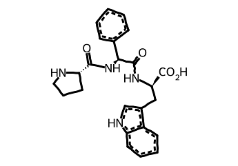 O=C(N[C@H](C(=O)N[C@H](Cc1c[nH]c2ccccc12)C(=O)O)c1ccccc1)[C@@H]1CCCN1